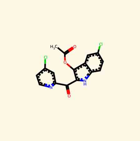 CC(=O)Oc1c(C(=O)c2cc(Cl)ccn2)[nH]c2ccc(Cl)cc12